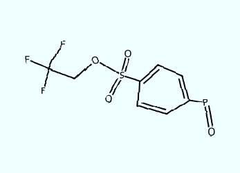 O=Pc1ccc(S(=O)(=O)OCC(F)(F)F)cc1